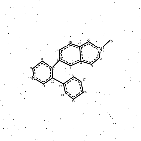 C[n+]1ccc2cc(-c3ccncc3-c3ccccc3)ccc2c1